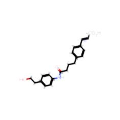 O=C(O)/C=C/c1ccc(CCCC(=O)Nc2ccc(CCO)cc2)cc1